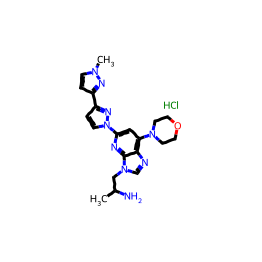 CC(N)Cn1cnc2c(N3CCOCC3)cc(-n3ccc(-c4ccn(C)n4)n3)nc21.Cl